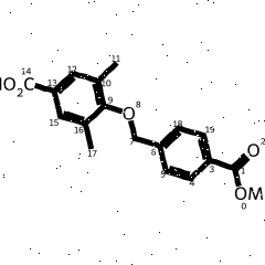 COC(=O)c1ccc(COc2c(C)cc(C(=O)O)cc2C)cc1